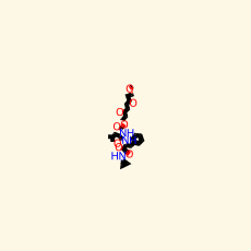 COCCC(=O)CCC(=O)CCOC(=O)NC(CC(C)C)C(=O)NC(Cc1ccccc1)C(=O)C(=O)NC1CC1